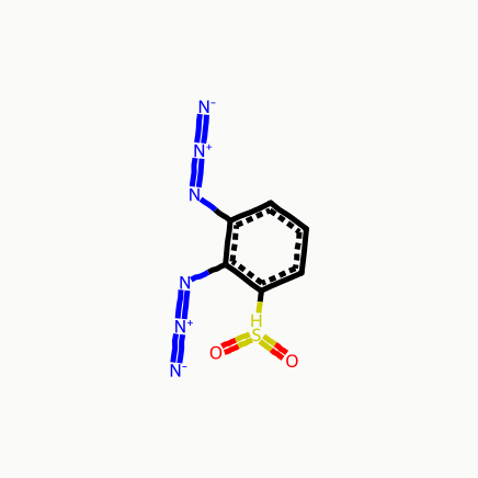 [N-]=[N+]=Nc1cccc([SH](=O)=O)c1N=[N+]=[N-]